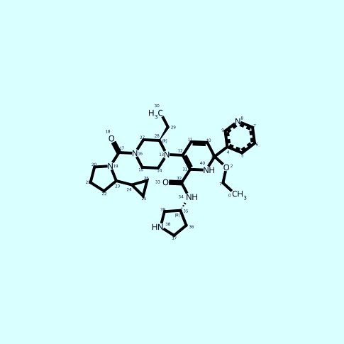 CCOC1(c2cccnc2)C=CC(N2CCN(C(=O)N3CCCC3C3CC3)C[C@H]2CC)=C(C(=O)N[C@@H]2CCNC2)N1